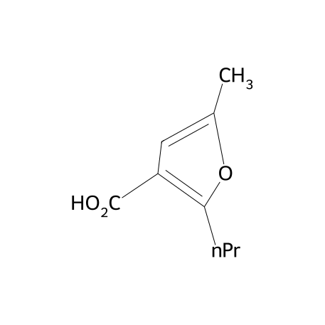 CCCc1oc(C)cc1C(=O)O